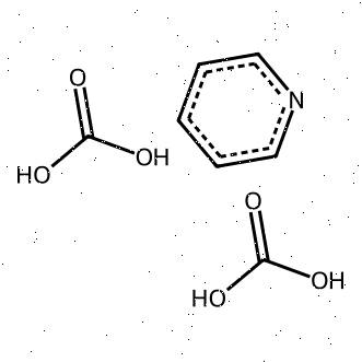 O=C(O)O.O=C(O)O.c1ccncc1